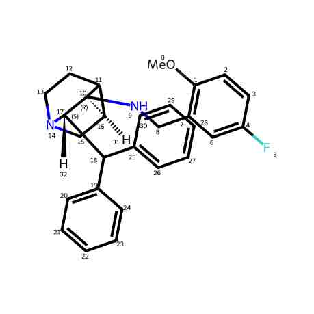 COc1ccc(F)cc1CN[C@@H]1C2CCN(CC2)[C@H]1C(c1ccccc1)c1ccccc1